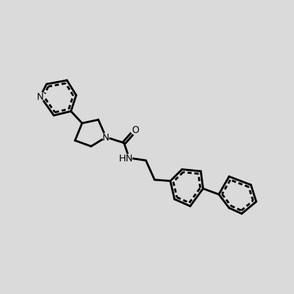 O=C(NCCc1ccc(-c2ccccc2)cc1)N1CCC(c2cccnc2)C1